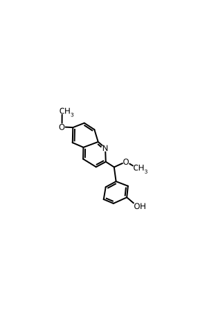 COc1ccc2nc(C(OC)c3cccc(O)c3)ccc2c1